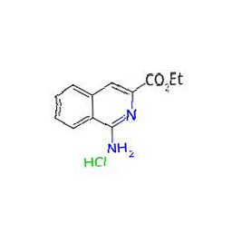 CCOC(=O)c1cc2ccccc2c(N)n1.Cl